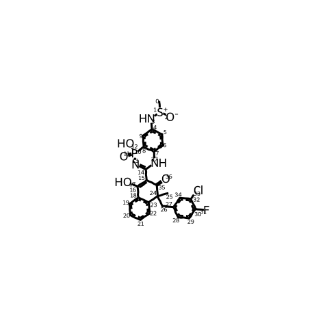 C[S+]([O-])Nc1ccc2c(c1)P(=O)(O)N=C(C1=C(O)c3ccccc3C(C)(Cc3ccc(F)c(Cl)c3)C1=O)N2